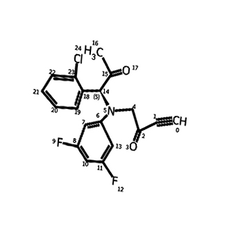 C#CC(=O)CN(c1cc(F)cc(F)c1)[C@H](C(C)=O)c1ccccc1Cl